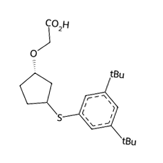 CC(C)(C)c1cc(SC2CC[C@H](OCC(=O)O)C2)cc(C(C)(C)C)c1